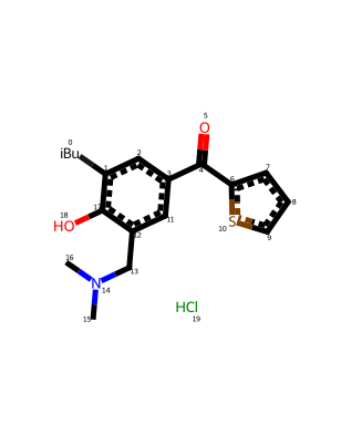 CCC(C)c1cc(C(=O)c2cccs2)cc(CN(C)C)c1O.Cl